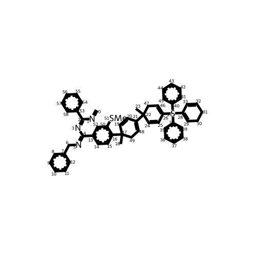 C=N/C(=N\C(=N/Cc1ccccc1)c1ccc(C2(C)C=CC(C3(C)C=CC(S(C4=CCCC=C4)(c4ccccc4)c4ccccc4)=CC3)=CC2)c(SC)c1)c1ccccc1